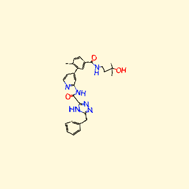 Cc1ccc(C(=O)NCCC(C)(C)O)cc1-c1ccnc(NC(=O)c2nnc(Cc3ccccc3)[nH]2)c1